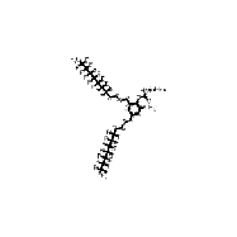 CCCCCCNC(=O)Oc1c(C)cc(CSCCC(F)(F)C(F)(F)C(F)(F)C(F)(F)C(F)(F)C(F)(F)C(F)(F)C(F)(F)F)cc1CSCCC(F)(F)C(F)(F)C(F)(F)C(F)(F)C(F)(F)C(F)(F)C(F)(F)C(F)(F)F